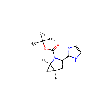 CC(C)(C)OC(=O)N1[C@@H](c2ncc[nH]2)C[C@H]2C[C@H]21